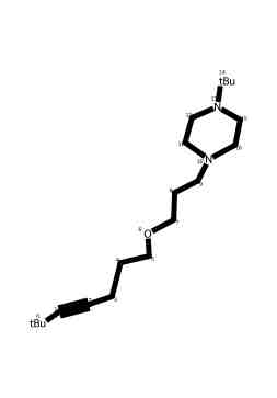 CC(C)(C)C#CCCCOCCCN1CCN(C(C)(C)C)CC1